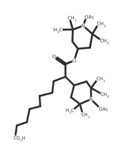 CC(=O)ON1C(C)(C)CC(OC(=O)C(CCCCCCCC(=O)O)C2CC(C)(C)N(OC(C)=O)C(C)(C)C2)CC1(C)C